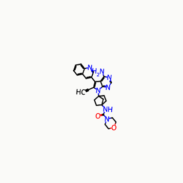 C#Cc1c(-c2cnc3ccccc3c2)c2c(N)ncnc2n1C12CCC(NC(=O)N3CCOCC3)(CC1)C2